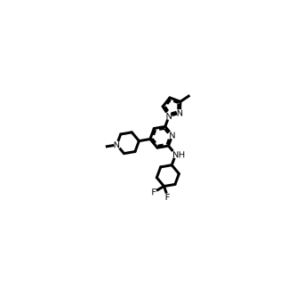 Cc1ccn(-c2cc(C3CCN(C)CC3)cc(NC3CCC(F)(F)CC3)n2)n1